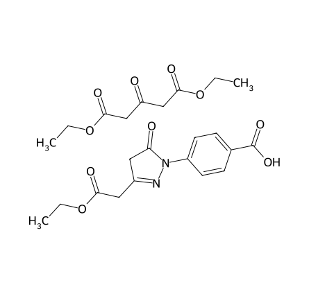 CCOC(=O)CC(=O)CC(=O)OCC.CCOC(=O)CC1=NN(c2ccc(C(=O)O)cc2)C(=O)C1